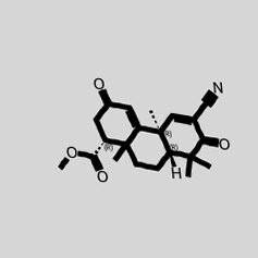 COC(=O)[C@@H]1CC(=O)C=C2C1(C)CC[C@H]1C(C)(C)C(=O)C(C#N)=C[C@]21C